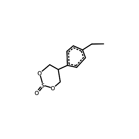 CCc1ccc(C2COS(=O)OC2)cc1